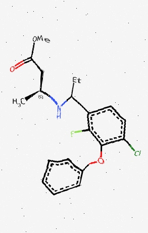 CCC(N[C@@H](C)CC(=O)OC)c1ccc(Cl)c(Oc2ccccc2)c1F